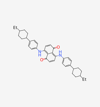 CCC1CCC(c2ccc(NC3=C4C(=O)C=CC(Nc5ccc(C6CCC(CC)CC6)cc5)=C4C(=O)C=C3)cc2)CC1